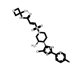 C[C@H]1CN(S(=O)(=O)C=CC(=O)NC2(C)COC2)CC[C@H]1c1[nH]c(-c2ccc(F)cn2)nc1Cl